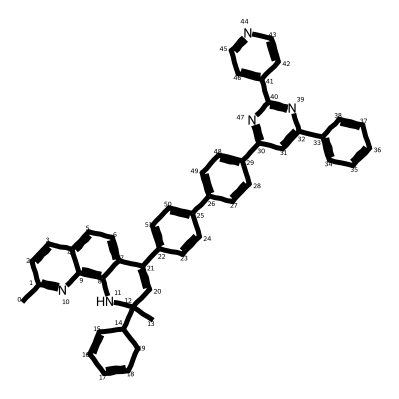 Cc1ccc2ccc3c(c2n1)NC(C)(C1C=CC=CC1)C=C3c1ccc(-c2ccc(-c3cc(-c4ccccc4)nc(-c4ccncc4)n3)cc2)cc1